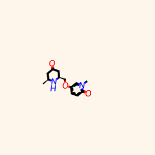 C[C@H]1CC(=O)C[C@@H](COc2ccc(=O)n(C)c2)N1